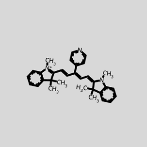 CN1/C(=C/C=C(/C=C/C2=[N+](C)c3ccccc3C2(C)C)c2ccncc2)C(C)(C)c2ccccc21